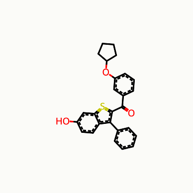 O=C(c1cccc(OC2CCCC2)c1)c1sc2cc(O)ccc2c1-c1ccccc1